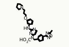 Cc1nc(-c2ccc(CN(C(=O)O)c3ccnc(Nc4cccc(OCCCN5CCCCC5)c4)n3)cc2)no1